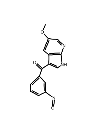 COc1cnc2[nH]cc(C(=O)c3cccc(N=O)c3)c2c1